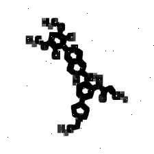 C=CC(=O)Nc1cc(C2CCN(CC)CC2)ccc1NC1C=c2cnc(-c3c(Cl)c(OC)cc(OC)c3Cl)cc2=CN1